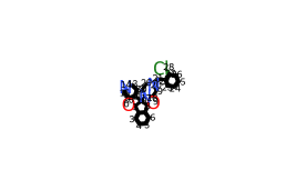 O=C1c2ccccc2C(=O)C1(c1ccncc1)N1CCN(Cc2ccccc2Cl)CC1